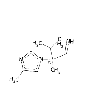 Cc1cn([C@](C)(C=N)C(C)C)cn1